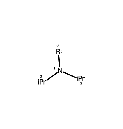 [B]N(C(C)C)C(C)C